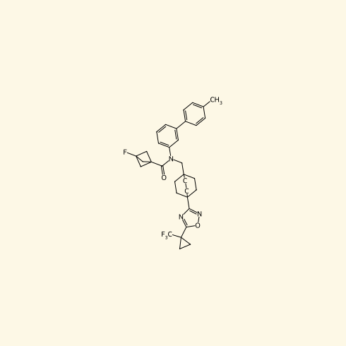 Cc1ccc(-c2cccc(N(CC34CCC(c5noc(C6(C(F)(F)F)CC6)n5)(CC3)CC4)C(=O)C34CC(F)(C3)C4)c2)cc1